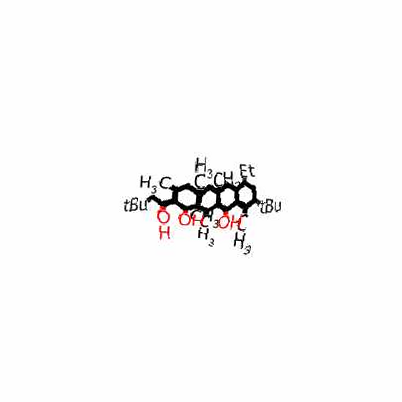 CCC1CC(C(C)(C)C)C(C)C2C(O)C3C(C)C4(C)C(O)C(C(O)CC(C)(C)C)C(C)CC4(C)CC3(C)CC12